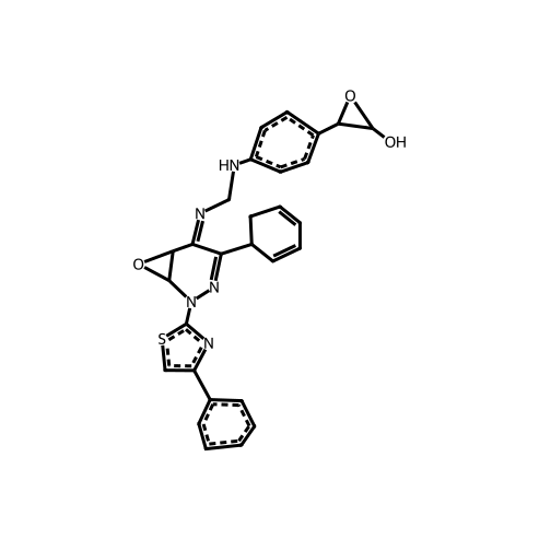 OC1OC1c1ccc(NC/N=C2\C(C3C=CC=CC3)=NN(c3nc(-c4ccccc4)cs3)C3OC23)cc1